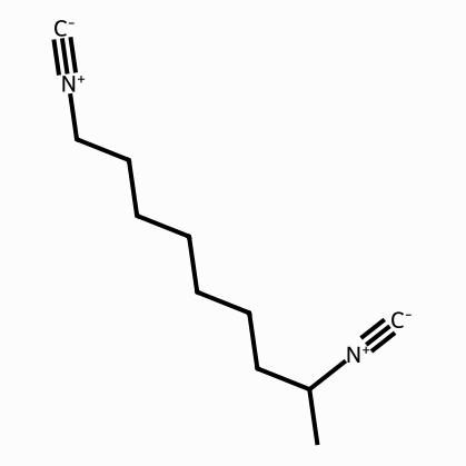 [C-]#[N+]CCCCCCCC(C)[N+]#[C-]